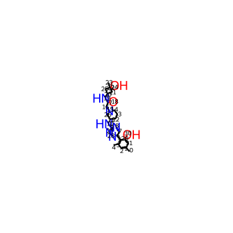 Cc1cc(C)c(-c2cnc(N[C@@H]3CCCN(CC(=O)NC4CC(C)(O)C4)C3)nn2)c(O)c1